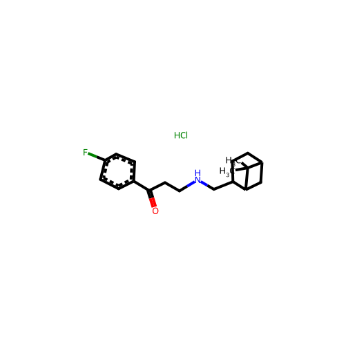 CC1(C)C2CCC(CNCCC(=O)c3ccc(F)cc3)C1C2.Cl